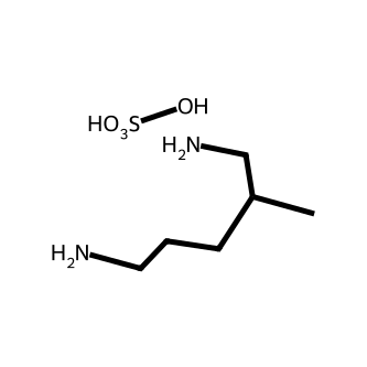 CC(CN)CCCN.O=S(=O)(O)O